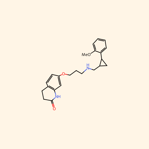 COc1ccccc1C1CC1CNCCCOc1ccc2c(c1)NC(=O)CC2